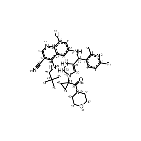 Cc1nc(F)ccc1[C@H](Nc1cc(Cl)c2ncc(C#N)c(NCC(C)(C)C)c2c1)C1=CN(C2(C(=O)N3CCOCC3)CC2)NN1